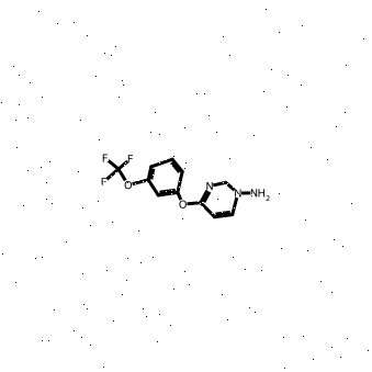 NN1C=CC(Oc2cccc(OC(F)(F)F)c2)=NC1